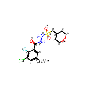 COc1cc(Cl)c(F)c(C(=O)NNS(=O)(=O)CC2CCOCC2)c1